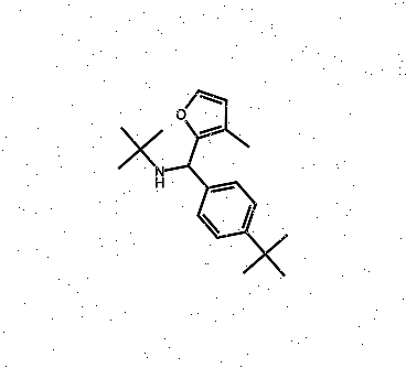 Cc1ccoc1C(NC(C)(C)C)c1ccc(C(C)(C)C)cc1